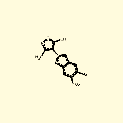 COc1cc2nn(-c3c(C)noc3C)cc2cc1Br